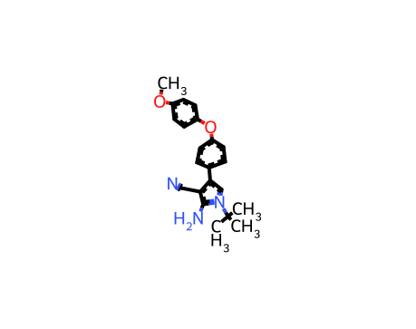 COc1ccc(Oc2ccc(-c3cn(C(C)(C)C)c(N)c3C#N)cc2)cc1